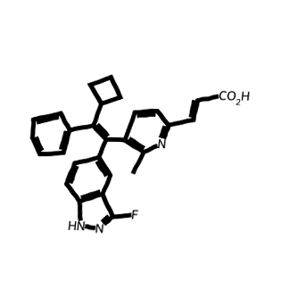 Cc1nc(C=CC(=O)O)ccc1C(=C(c1ccccc1)C1CCC1)c1ccc2[nH]nc(F)c2c1